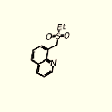 CCS(=O)(=O)Cc1cccc2cccnc12